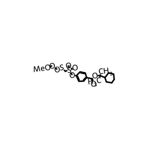 COOOSCS(=O)(=O)Oc1ccc(C(=O)OC(C)(C)C2CCCCC2)cc1